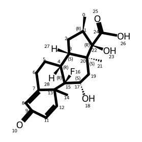 C[C@@H]1C[C@H]2[C@H]3CCC4=CC(=O)C=CC4(C)[C@@]3(F)[C@@H](O)C[C@]2(C)[C@@]1(O)C(=O)O